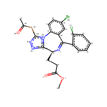 COC(=O)CC[C@@H]1N=C(c2ccccc2Cl)c2cc(Br)ccc2-n2c(SC(C)=O)nnc21